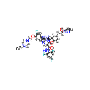 CCCN1CCN(CCOc2ccc(Nc3ncc(C(=O)Nc4c(F)cc(F)cc4F)c(Oc4ccc(CCC(=O)N[C@H](C)CC)cc4OC)n3)cc2F)CC1